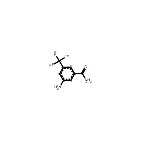 NC(=O)c1cc(N)cc(C(F)(F)F)c1